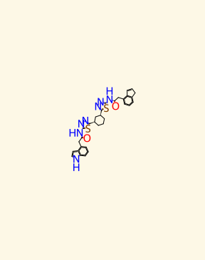 O=C(Cc1cccc2[nH]ccc12)Nc1nnc([C@@H]2CCC[C@H](c3nnc(NC(=O)Cc4cccc5c4C=CC5)s3)C2)s1